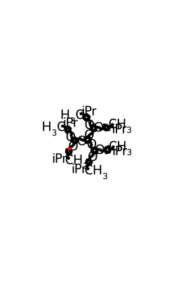 CC(C)C(C)c1ccc(COc2cc(COc3cc(OCc4cc(OCc5ccc(C(C)C(C)C)cc5)cc(OCc5ccc(C(C)C(C)C)cc5)c4)cc(OCc4cc(OCc5ccc(C(C)C(C)C)cc5)cc(OCc5ccc(C(C)C(C)C)cc5)c4)c3)cc(OCc3ccc(C(C)C(C)C)cc3)c2)cc1